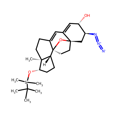 CC(C)(C)[Si](C)(C)O[C@H]1CC[C@@H]2[C@]1(C)CCC1=CC3=C[C@H](O)[C@@H](N=[N+]=[N-])C[C@]34CC[C@@]12O4